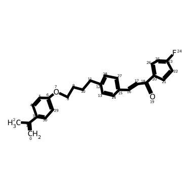 C=C(C)c1ccc(OCCCCc2ccc(/C=C/C(=O)c3ccc(F)cc3)cc2)cc1